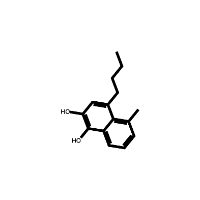 CCCCc1cc(O)c(O)c2cccc(C)c12